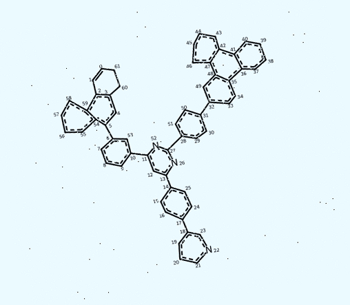 C1=Cc2c(cc(-c3cccc(-c4cc(-c5ccc(-c6cccnc6)cc5)nc(-c5ccc(-c6ccc7c8ccccc8c8ccccc8c7c6)cc5)n4)c3)c3ccccc23)CC1